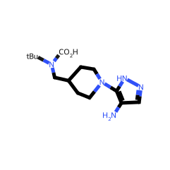 CC(C)(C)N(CC1CCN(c2[nH]ncc2N)CC1)C(=O)O